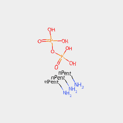 CCCCCN.CCCCCN.CCCCCN.O=P(O)(O)OP(=O)(O)O